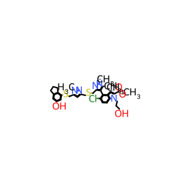 COC(=O)c1c(C)c2c(-c3c(CSCc4cc(CSc5cc(O)cc6c5CCC6)n(C)n4)nn(C)c3C)c(Cl)ccc2n1CCCO